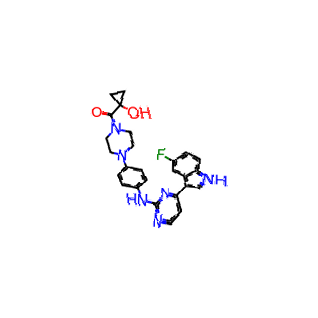 O=C(N1CCN(c2ccc(Nc3nccc(-c4c[nH]c5ccc(F)cc45)n3)cc2)CC1)C1(O)CC1